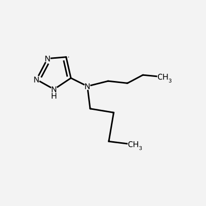 CCCCN(CCCC)c1[c]nn[nH]1